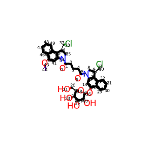 O=C(CCCC(=O)N1C[C@@H](CCl)c2c1cc(O[C@@H]1O[C@H](CO)[C@H](O)[C@H](O)[C@H]1O)c1ccccc21)N1C[C@@H](CCl)c2c1cc(OI)c1ccccc21